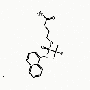 CCCC(=O)SCCOP(=O)(Oc1cccc2ccccc12)C(C)(F)F